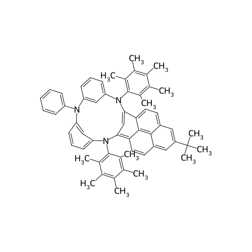 Cc1c(C)c(C)c(N2c3cccc(c3)N(c3ccccc3)c3cccc(c3)N(c3c(C)c(C)c(C)c(C)c3C)c3cc2c2ccc4cc(C(C)(C)C)cc5ccc3c2c45)c(C)c1C